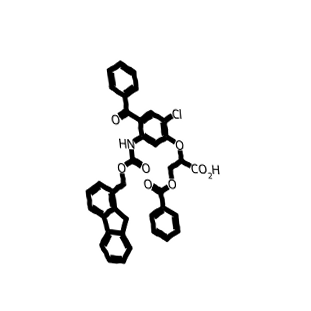 O=C(Nc1cc(OC(COC(=O)c2ccccc2)C(=O)O)c(Cl)cc1C(=O)c1ccccc1)OCc1cccc2c1Cc1ccccc1-2